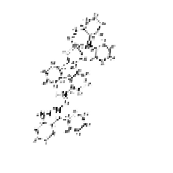 N=C1C=CC=CC1C(/N=C/Nc1cccc(-c2ccc3c(c2)N(c2ccccc2)c2ccccc2C=C3)c1-c1ccccc1)c1ccccc1